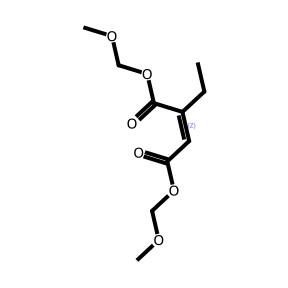 CC/C(=C/C(=O)OCOC)C(=O)OCOC